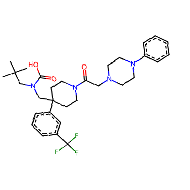 CC(C)(C)CN(CC1(c2cccc(C(F)(F)F)c2)CCN(C(=O)CN2CCN(c3ccccc3)CC2)CC1)C(=O)O